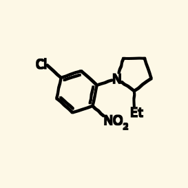 CCC1CCCN1c1cc(Cl)ccc1[N+](=O)[O-]